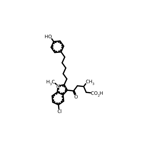 CC(CC(=O)O)CC(=O)c1c(CCCCCc2ccc(O)cc2)n(C)c2ccc(Cl)cc12